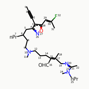 CC#Cc1c(CC(CCC)CCN(C)CCC/C(C=O)=C(\C)C/N=C(/C)N(C)CCC)noc1/C=C(\C)F